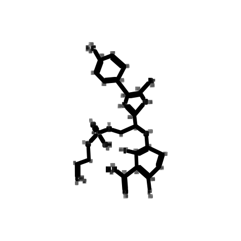 C=CCOP(=O)(O)OCC(Oc1ccc(F)c(C(N)=O)c1F)c1nc(-c2ccc(C(F)(F)F)cc2)c(Br)o1